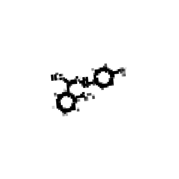 C/C(=N/Nc1ccc(Br)cc1)c1ccccc1C